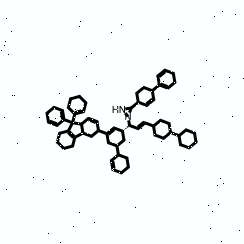 C1=CC(C2C=CC(C3NN3C(/C=C/C3CCC(C4CCCCC4)CC3)[C@H]3C=C(C4C=CC5C(C4)C4=C(CCCC4)C5(C4=CCCC=C4)C4=CCCCC4)CC(C4C=CCCC4)C3)CC2)=CCC1